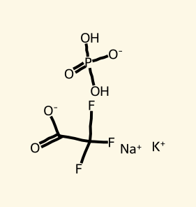 O=C([O-])C(F)(F)F.O=P([O-])(O)O.[K+].[Na+]